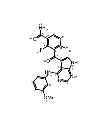 COc1cccc(Nc2ncnc3[nH]cc(C(=O)c4c(F)ccc(C(N)=O)c4F)c23)c1